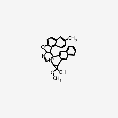 COC1(O)C2c3cc4ccccc4cc3C3=[N+](C=NC4Oc5ccc6cc(C)ccc6c5C34)C21